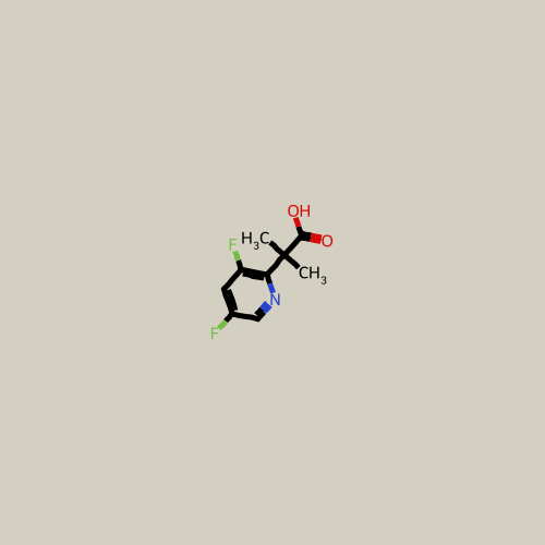 CC(C)(C(=O)O)c1ncc(F)cc1F